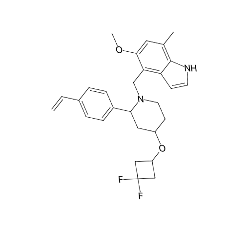 C=Cc1ccc(C2CC(OC3CC(F)(F)C3)CCN2Cc2c(OC)cc(C)c3[nH]ccc23)cc1